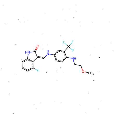 COCCNc1ccc(NC=C2C(=O)Nc3cccc(F)c32)cc1C(F)(F)F